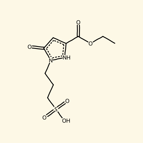 CCOC(=O)c1cc(=O)n(CCCS(=O)(=O)O)[nH]1